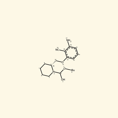 CC(C)(C)OC(O)N1CCCC[C@@H]1COc1cccc(N)c1C#N